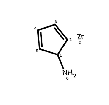 NC1C=CC=C1.[Zr]